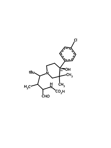 CC(C(C=O)NC(=O)O)C(N1CC[C@](O)(c2ccc(Cl)cc2)C(C)(C)C1)C(C)(C)C